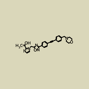 C[C@H](O)c1nccn1Cc1nc(-c2ccc(C#Cc3ccc(CN4CCOCC4)cc3)cc2)no1